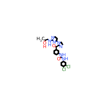 C[C@H](O)CNc1nccc(-n2ccnc2C(=O)c2cccc(NC(=O)Nc3ccc(Cl)c(Cl)c3)c2)n1